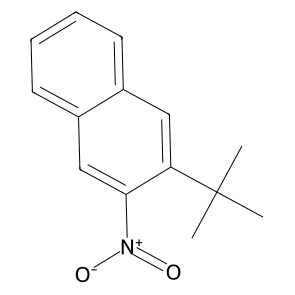 CC(C)(C)c1cc2ccccc2cc1[N+](=O)[O-]